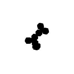 CC1(C)c2cc3c4cc(-c5ccc(N(c6ccccc6)c6ccccc6)cc5)ccc4n(-c4ccccc4)c3cc2C(C)(C)C1(C)C